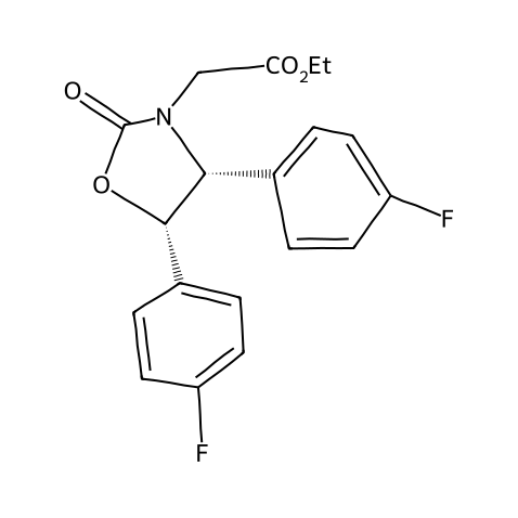 CCOC(=O)CN1C(=O)O[C@@H](c2ccc(F)cc2)[C@H]1c1ccc(F)cc1